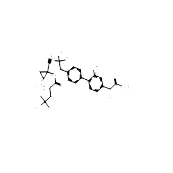 C[C@@H](C(N)=O)c1ccc(-c2ccc([C@H](N(C(=O)[C@@H](N)CC(C)(C)F)C3(C#N)CC3)C(F)(F)F)cc2)c(F)c1